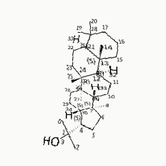 CC(C)(O)[C@H]1CC[C@]2(C)[C@H]3CC[C@@H]4[C@@]5(C)CCCC(C)(C)[C@@H]5CC[C@@]4(C)[C@]3(C)CC[C@@H]12